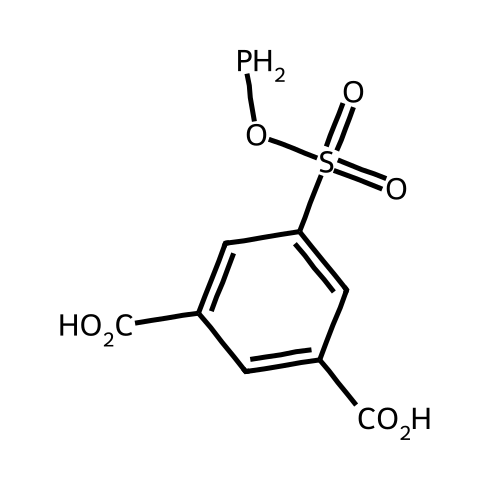 O=C(O)c1cc(C(=O)O)cc(S(=O)(=O)OP)c1